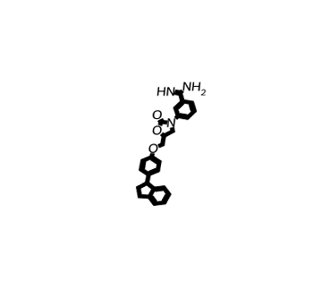 N=C(N)c1cccc(N2CC(COc3ccc(C4CCc5ccccc54)cc3)OC2=O)c1